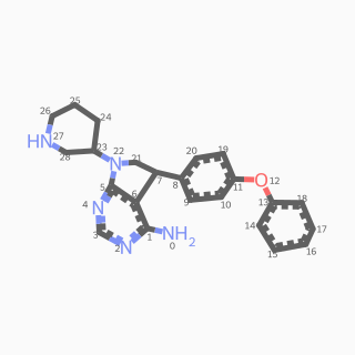 Nc1ncnc2c1C(c1ccc(Oc3ccccc3)cc1)CN2C1CCCNC1